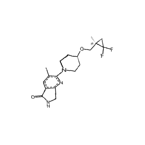 Cc1cc2c(nc1N1CCC(OC[C@@]3(C)CC3(F)F)CC1)CNC2=O